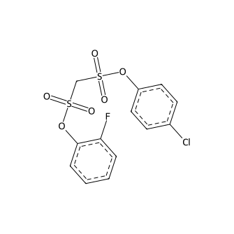 O=S(=O)(CS(=O)(=O)Oc1ccccc1F)Oc1ccc(Cl)cc1